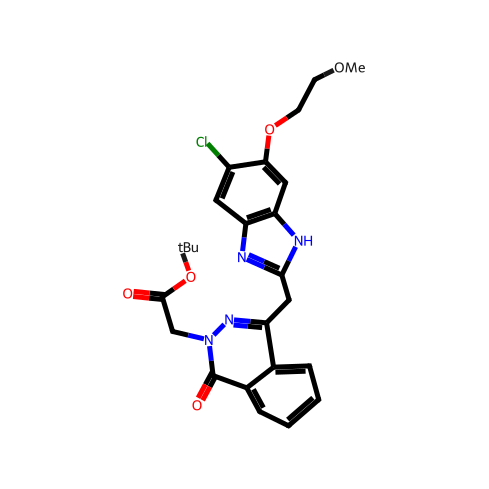 COCCOc1cc2[nH]c(Cc3nn(CC(=O)OC(C)(C)C)c(=O)c4ccccc34)nc2cc1Cl